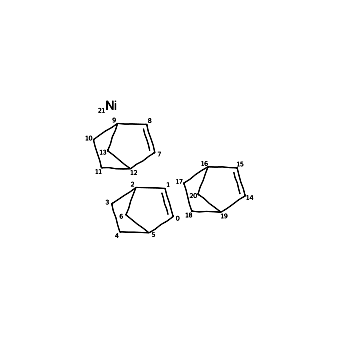 C1=CC2CCC1C2.C1=CC2CCC1C2.C1=CC2CCC1C2.[Ni]